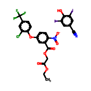 CCOC(=O)COC(=O)c1cc(Oc2ccc(C(F)(F)F)cc2Cl)ccc1[N+](=O)[O-].N#Cc1cc(I)c(O)c(I)c1